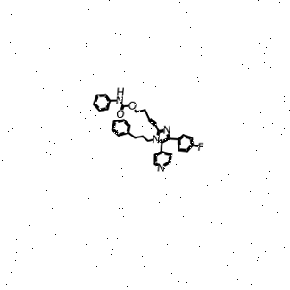 O=C(Nc1ccccc1)OCCC#Cc1nc(-c2ccc(F)cc2)c(-c2ccncc2)n1CCCc1ccccc1